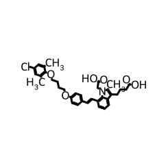 Cc1cc(Cl)cc(C)c1OCCCCOc1ccc(/C=C/c2cccc3c(CCCC(=O)O)c(C)n(CC(=O)O)c23)cc1